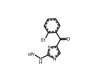 [CH2]CCNc1ncc(C(=O)c2ccccc2CC)s1